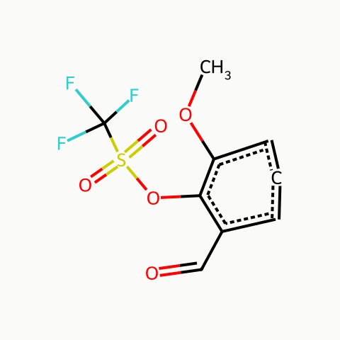 COc1cccc(C=O)c1OS(=O)(=O)C(F)(F)F